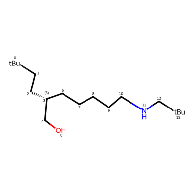 CC(C)(C)CC[C@@H](CO)CCCCCNCC(C)(C)C